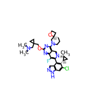 C[C@@H]1C[C@@H]1c1c(Cl)cc2[nH]ncc2c1-c1ncc2c(N3CCC[C@]4(CCO4)C3)nc(OCC3(CN(C)C)CC3)nc2c1F